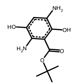 CC(C)(C)OC(=O)c1c(N)c(O)cc(N)c1O